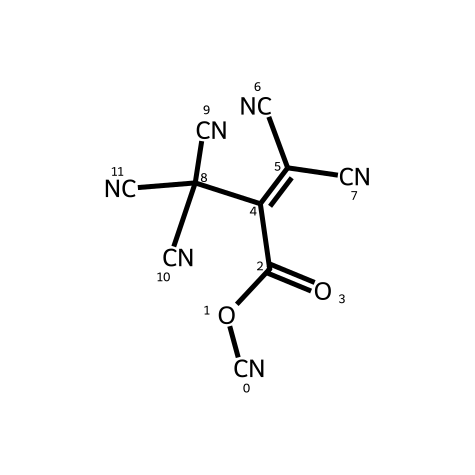 N#COC(=O)C(=C(C#N)C#N)C(C#N)(C#N)C#N